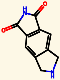 O=C1NC(=O)c2cc3c(cc21)CNC3